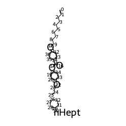 C=CCCCCCCCCOc1ccc(C(=O)Oc2ccc(OCCC[C@H]3CC[C@H](CCCCCCC)CC3)cc2)cc1